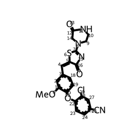 COc1cc(/C=C2/SC(N3CCNC(=O)C3)=NC2=O)ccc1Oc1ccc(C#N)cc1Cl